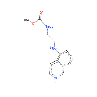 C[n+]1ccc2c(NCCNC(=O)OC(C)(C)C)cccc2c1